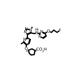 Cc1nc(-c2nnn(C)c2CNc2nccc(OCCCF)n2)ccc1O[C@H]1CCC[C@H](C(=O)O)C1